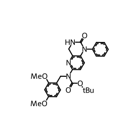 COc1ccc(CN(C(=O)OC(C)(C)C)c2ccc3c(n2)CNC(=O)N3c2ccccc2)c(OC)c1